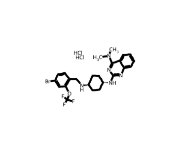 CN(C)c1nc(N[C@H]2CC[C@H](NCc3ccc(Br)cc3OC(F)(F)F)CC2)nc2ccccc12.Cl.Cl